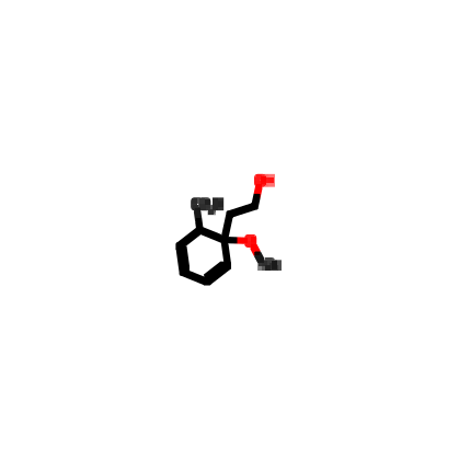 CCCCOC1(CCO)C=CC=CC1C(=O)O